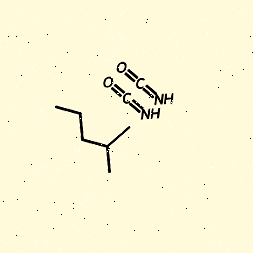 CCCC(C)C.N=C=O.N=C=O